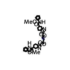 COc1ccccc1NC(=O)C1CCc2c(ncn2OC(=O)/C=C/C(=O)On2cnc3c2CCC(C(=O)Nc2ccccc2OC)C3)C1